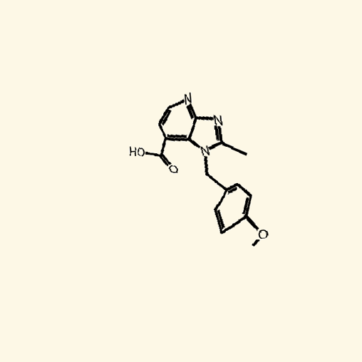 COc1ccc(Cn2c(C)nc3nccc(C(=O)O)c32)cc1